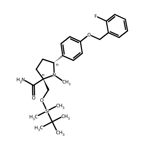 CN1[C@@H](c2ccc(OCc3ccccc3F)cc2)CC[C@@]1(CO[Si](C)(C)C(C)(C)C)C(N)=O